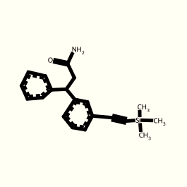 C[Si](C)(C)C#Cc1cccc(C(CC(N)=O)c2ccccc2)c1